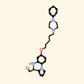 O=CC1Nc2cc(OCCCCCN3CCN(c4ccccc4)CC3)ccc2-n2cccc21